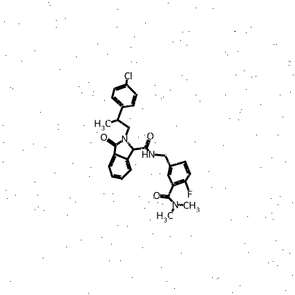 CC(CN1C(=O)c2ccccc2C1C(=O)NCc1ccc(F)c(C(=O)N(C)C)c1)c1ccc(Cl)cc1